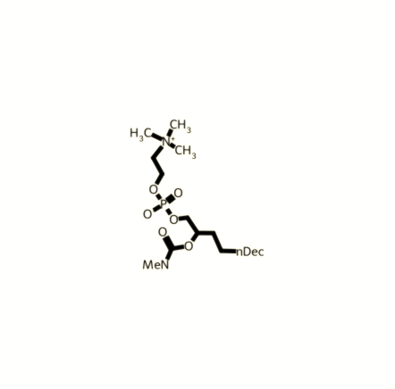 CCCCCCCCCCCCC(COP(=O)([O-])OCC[N+](C)(C)C)OC(=O)NC